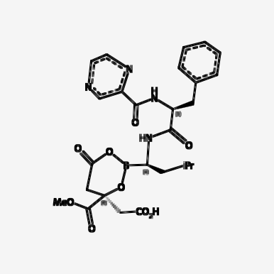 COC(=O)[C@@]1(CC(=O)O)CC(=O)OB([C@H](CC(C)C)NC(=O)[C@H](Cc2ccccc2)NC(=O)c2cnccn2)O1